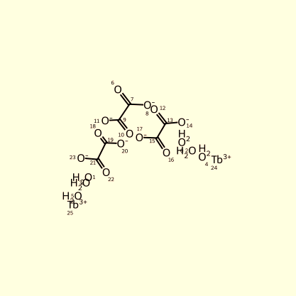 O.O.O.O.O.O.O=C([O-])C(=O)[O-].O=C([O-])C(=O)[O-].O=C([O-])C(=O)[O-].[Tb+3].[Tb+3]